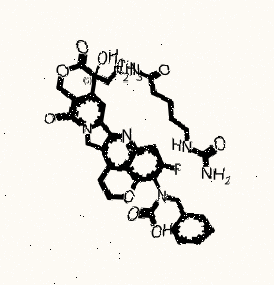 CC[C@@]1(O)C(=O)OCc2c1cc1n(c2=O)Cc2c-1nc1cc(F)c(N(Cc3ccccc3)C(=O)O)c3c1c2CCO3.NC(=O)CCCCNC(N)=O